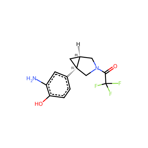 Nc1cc([C@]23C[C@H]2CN(C(=O)C(F)(F)F)C3)ccc1O